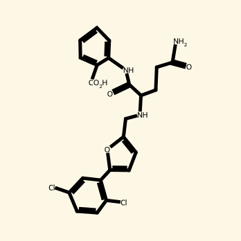 NC(=O)CCC(NCc1ccc(-c2cc(Cl)ccc2Cl)o1)C(=O)Nc1ccccc1C(=O)O